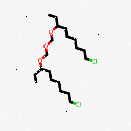 CCC(CCCCCCCl)OCOCOC(CC)CCCCCCCl